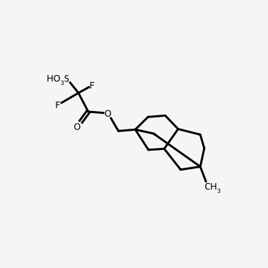 CC12CCC3CCC(COC(=O)C(F)(F)S(=O)(=O)O)(CC3C1)C2